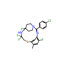 Cc1cc(F)c2cc1SCC(F)(F)NC1(F)CCN(CC1)/C(c1ccc(Cl)cc1)=N\2